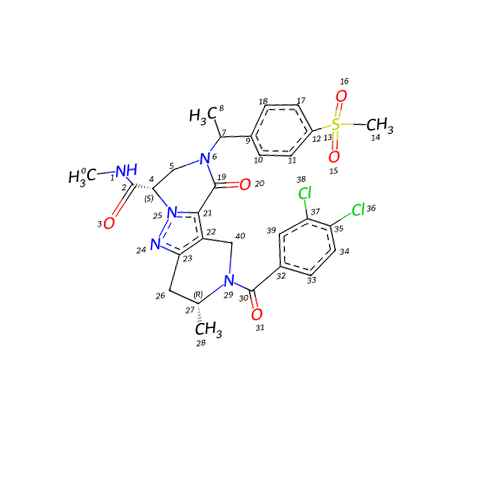 CNC(=O)[C@@H]1CN(C(C)c2ccc(S(C)(=O)=O)cc2)C(=O)c2c3c(nn21)C[C@@H](C)N(C(=O)c1ccc(Cl)c(Cl)c1)C3